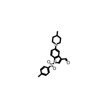 Cc1ccc(S(=O)(=O)n2cc(C=O)c3cc(N4CCC(C)CC4)ccc32)cc1